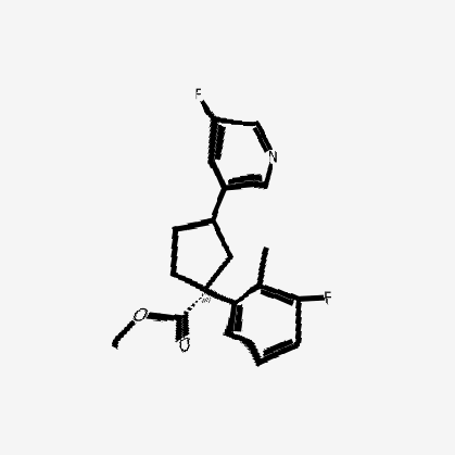 COC(=O)[C@]1(c2cccc(F)c2C)CCC(c2cncc(F)c2)C1